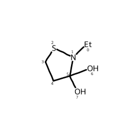 [CH2]CN1SCCC1(O)O